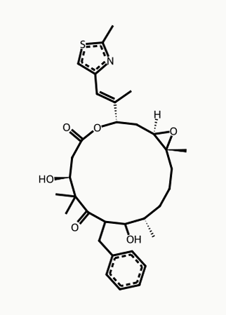 CC(=Cc1csc(C)n1)[C@@H]1C[C@H]2O[C@]2(C)CCC[C@H](C)C(O)C(Cc2ccccc2)C(=O)C(C)(C)[C@@H](O)CC(=O)O1